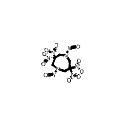 O=NN1CC([N+](=O)[O-])([N+](=O)[O-])CN(N=O)CC([N+](=O)[O-])([N+](=O)[O-])C1